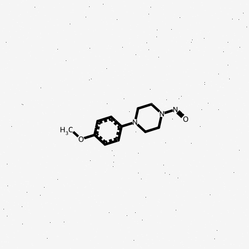 COc1ccc(N2CCN(N=O)CC2)cc1